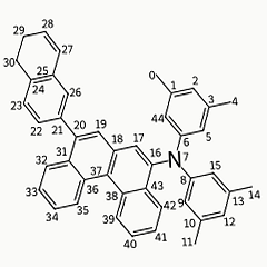 Cc1cc(C)cc(N(c2cc(C)cc(C)c2)c2cc3cc(-c4ccc5c(c4)C=CCC5)c4ccccc4c3c3ccccc23)c1